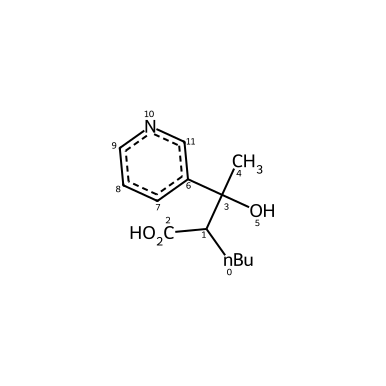 CCCCC(C(=O)O)C(C)(O)c1cccnc1